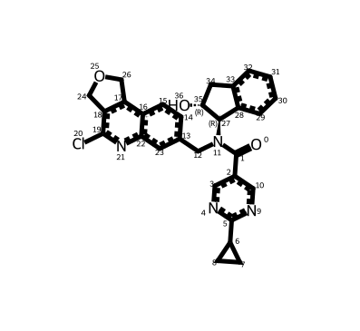 O=C(c1cnc(C2CC2)nc1)N(Cc1ccc2c3c(c(Cl)nc2c1)COC3)[C@@H]1c2ccccc2C[C@H]1O